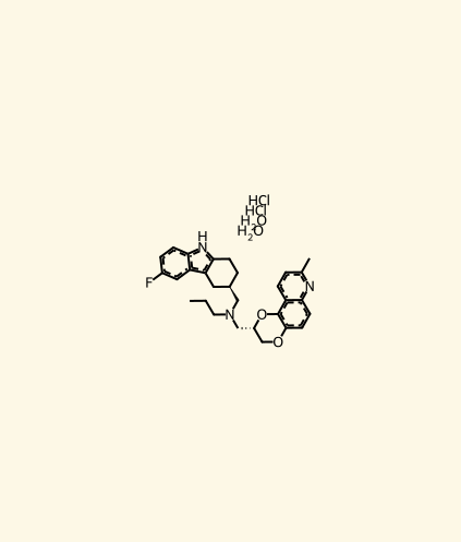 CCCN(C[C@@H]1CCc2[nH]c3ccc(F)cc3c2C1)C[C@H]1COc2ccc3nc(C)ccc3c2O1.Cl.Cl.O.O